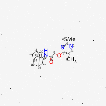 CSc1ncc(C)c(OCC(=O)NC23CC4CC(CC(C4)C2)C3)n1